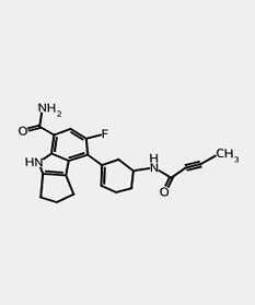 CC#CC(=O)NC1CCC=C(c2c(F)cc(C(N)=O)c3[nH]c4c(c23)CCC4)C1